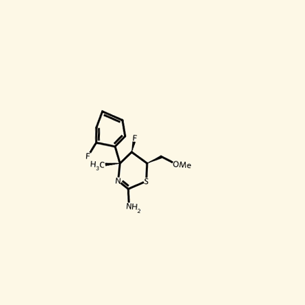 COC[C@H]1SC(N)=N[C@](C)(c2ccccc2F)[C@H]1F